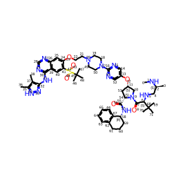 CN[C@@H](C)CN[C@H](C(=O)N1C[C@@H](Oc2cnc(N3CCN(CCOc4cc5ncnc(Nc6n[nH]c(C)c6C)c5cc4S(=O)(=O)C(C)(C)C)CC3)nc2)C[C@H]1C(=O)N[C@@H]1CCCc2ccccc21)C(C)(C)C